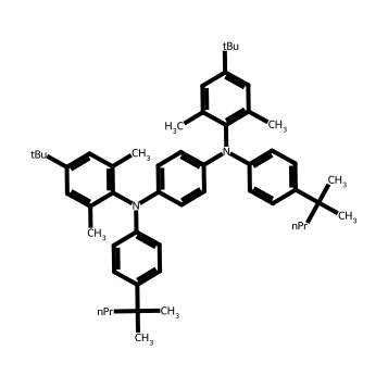 CCCC(C)(C)c1ccc(N(c2ccc(N(c3ccc(C(C)(C)CCC)cc3)c3c(C)cc(C(C)(C)C)cc3C)cc2)c2c(C)cc(C(C)(C)C)cc2C)cc1